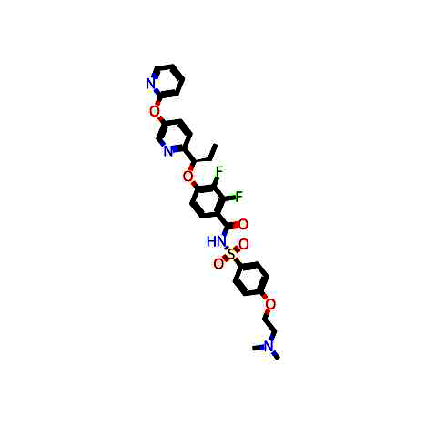 CC[C@@H](Oc1ccc(C(=O)NS(=O)(=O)c2ccc(OCCN(C)C)cc2)c(F)c1F)c1ccc(Oc2ccccn2)cn1